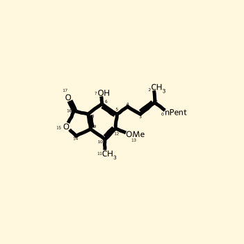 [CH]CCCCC(C)=CCc1c(O)c2c(c(C)c1OC)COC2=O